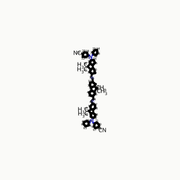 CC1(C)c2cc(/C=C/c3ccc4c(c3)C(C)(C)c3cc(N(c5ccccc5)c5ccc(C#N)cc5)ccc3-4)ccc2-c2ccc(/C=C/c3ccc4c(c3)C(C)(C)c3cc(N(c5ccccc5)c5ccc(C#N)cc5)ccc3-4)cc21